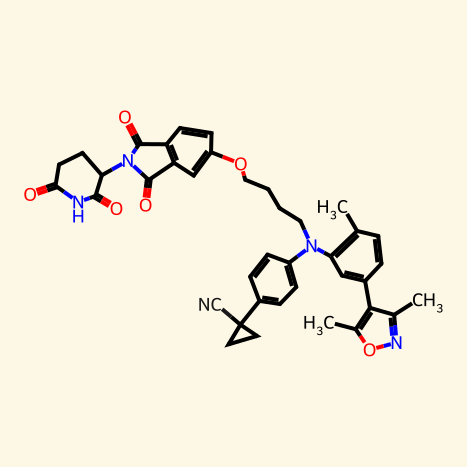 Cc1ccc(-c2c(C)noc2C)cc1N(CCCCOc1ccc2c(c1)C(=O)N(C1CCC(=O)NC1=O)C2=O)c1ccc(C2(C#N)CC2)cc1